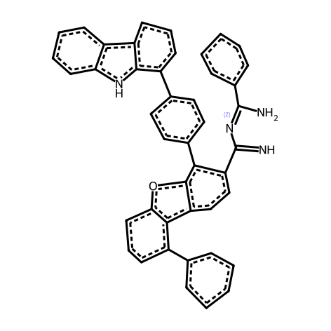 N=C(/N=C(\N)c1ccccc1)c1ccc2c(oc3cccc(-c4ccccc4)c32)c1-c1ccc(-c2cccc3c2[nH]c2ccccc23)cc1